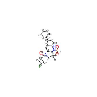 CS(=O)(=O)N[C@@H]1[C@H](Cc2cccc(-c3ccccc3)c2)N(C(=O)[C@H]2C[C@@H](F)C2)CC12CC2